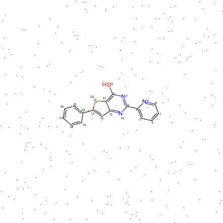 Oc1nc(-c2ccccn2)nc2cc(-c3ccccc3)sc12